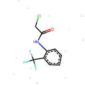 O=C(CCl)Nc1ccccc1C(F)(F)F